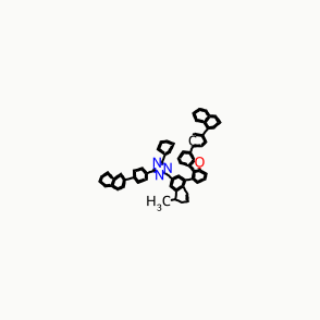 CC1CC=Cc2c(-c3cccc4oc5c(-c6ccc(-c7cccc8ccccc78)cc6)cccc5c34)cc(-c3nc(-c4ccccc4)nc(-c4ccc(-c5ccc6ccccc6c5)cc4)n3)cc21